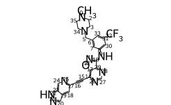 CN1CCN(Cc2cc(Nc3noc4c(C#Cc5cc6cn[nH]c6cn5)ncnc34)cc(C(F)(F)F)c2)CC1